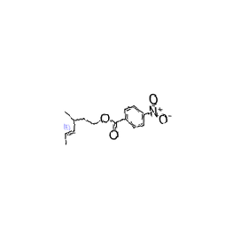 C/C=C/C(C)CCOC(=O)c1ccc([N+](=O)[O-])cc1